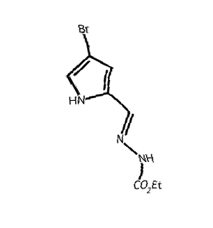 CCOC(=O)N/N=C/c1cc(Br)c[nH]1